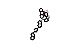 CC1(C)c2ccccc2-c2ccc(N(c3ccc4cc(-c5ccc(-c6ccc7ccccc7c6)cc5)ccc4c3)c3cccc4sc5ccccc5c34)cc21